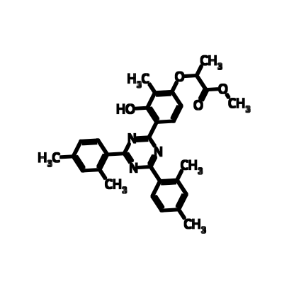 COC(=O)C(C)Oc1ccc(-c2nc(-c3ccc(C)cc3C)nc(-c3ccc(C)cc3C)n2)c(O)c1C